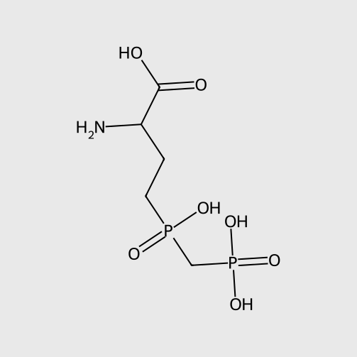 NC(CCP(=O)(O)CP(=O)(O)O)C(=O)O